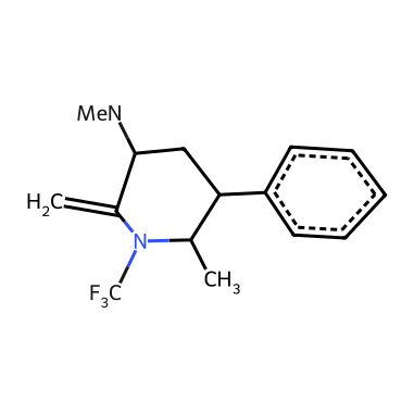 C=C1C(NC)CC(c2ccccc2)C(C)N1C(F)(F)F